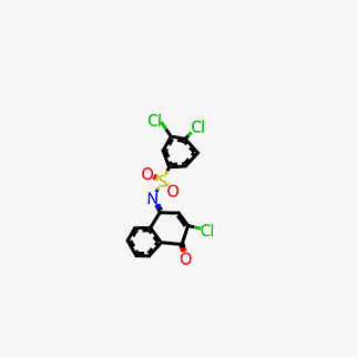 O=C1C(Cl)=CC(=NS(=O)(=O)c2ccc(Cl)c(Cl)c2)c2ccccc21